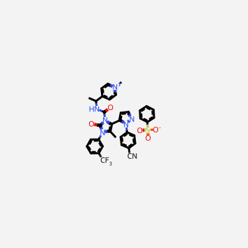 Cc1c(-c2ccnn2-c2ccc(C#N)cc2)n(C(=O)NC(C)c2cc[n+](C)cc2)c(=O)n1-c1cccc(C(F)(F)F)c1.O=S(=O)([O-])c1ccccc1